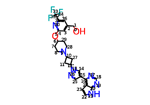 OCc1cc(OC2CCN(C3C[C](n4cc(-c5ncnc6[nH]ccc56)cn4)C3)CC2)nc(C(F)(F)F)c1